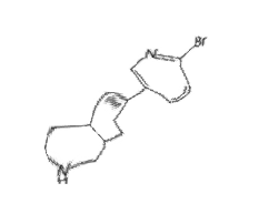 Brc1ccc(C2=CC3CCNCC3C2)cn1